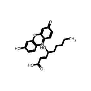 CCCCCC(O)/C=C/C(=O)O.O=c1ccc2nc3ccc(O)cc3oc-2c1